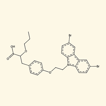 CCCOC(Cc1ccc(OCCn2c3ccc(Br)cc3c3cc(Br)ccc32)cc1)C(=O)O